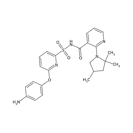 CC1CN(c2ncccc2C(=O)NS(=O)(=O)c2cccc(Oc3ccc(N)cc3)n2)C(C)(C)C1